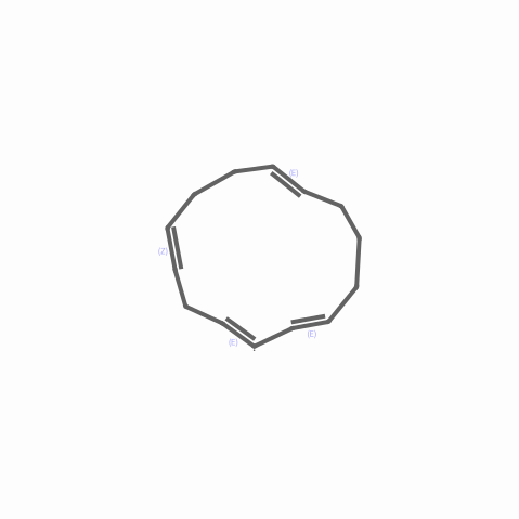 [C]1=C/C/C=C\CC/C=C/CCC/C=C/1